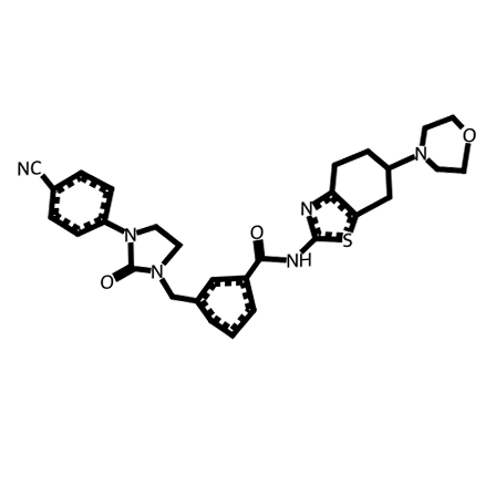 N#Cc1ccc(N2CCN(Cc3cccc(C(=O)Nc4nc5c(s4)CC(N4CCOCC4)CC5)c3)C2=O)cc1